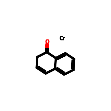 O=C1CC=Cc2ccccc21.[Cr]